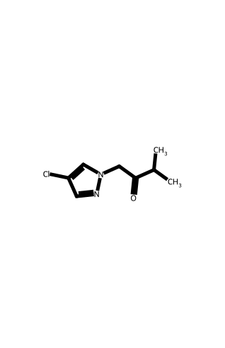 CC(C)C(=O)Cn1cc(Cl)cn1